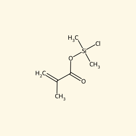 C=C(C)C(=O)O[Si](C)(C)Cl